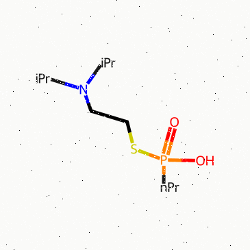 CCCP(=O)(O)SCCN(C(C)C)C(C)C